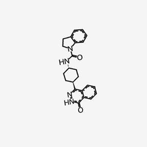 O=C(N[C@H]1CC[C@H](c2n[nH]c(=O)c3ccccc32)CC1)N1CCc2ccccc21